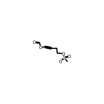 CS(=O)(=O)OCCC#COC=O